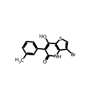 Cc1cccc(-c2c(O)c3scc(Br)c3[nH]c2=O)c1